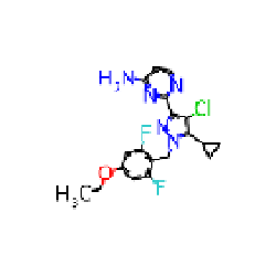 CCOc1cc(F)c(Cn2nc(-c3nccc(N)n3)c(Cl)c2C2CC2)c(F)c1